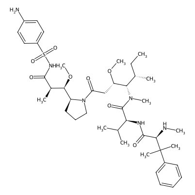 CC[C@H](C)[C@@H]([C@H](CC(=O)N1CCC[C@H]1[C@H](OC)[C@@H](C)C(=O)NS(=O)(=O)c1ccc(N)cc1)OC)N(C)C(=O)[C@@H](NC(=O)[C@@H](NC)C(C)(C)c1ccccc1)C(C)C